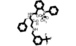 CS(=O)(=O)N(c1ccccc1)c1ccccc1C(=O)N[C@@H](Cc1ccccc1)[C@H](O)CNCc1cccc(C(F)(F)F)c1